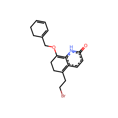 O=c1ccc2c([nH]1)=C(OCC1=CC=CCC1)CCC=2CCBr